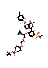 CCS(=O)(=O)c1ccc(OC(COCCOC2CCN(C(=O)OC(C)(C)C)CC2)C2CC2)c(-c2cn(C)c(=O)c3c2ccn3S(=O)(=O)c2ccc(C)cc2)c1